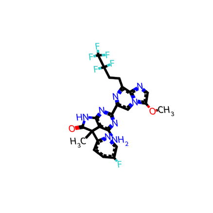 COc1cnc2c(CCC(F)(F)C(F)(F)F)nc(-c3nc(N)c4c(n3)NC(=O)C4(C)c3ccc(F)cn3)cn12